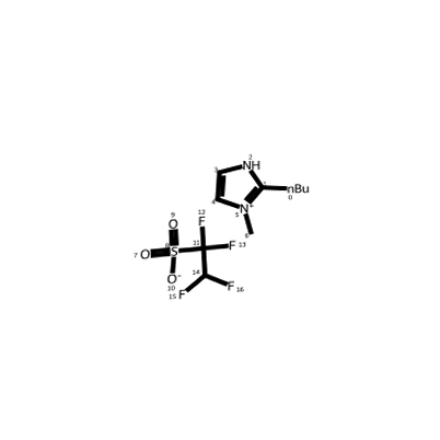 CCCCc1[nH]cc[n+]1C.O=S(=O)([O-])C(F)(F)C(F)F